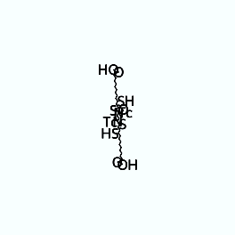 [O]=[Tc][N](CC[N]([Tc])C(=S)CCC(S)CCCCCCCCCC(=O)O)C(=S)CCC(S)CCCCCCCCCC(=O)O